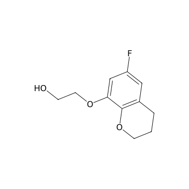 OCCOc1cc(F)cc2c1OCCC2